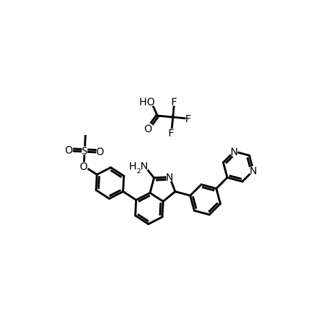 CS(=O)(=O)Oc1ccc(-c2cccc3c2C(N)=NC3c2cccc(-c3cncnc3)c2)cc1.O=C(O)C(F)(F)F